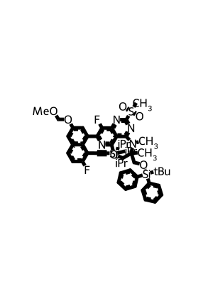 COCOc1cc(-c2nc3c4c(nc(S(C)(=O)=O)nc4c2F)N(C)C(C)(CO[Si](c2ccccc2)(c2ccccc2)C(C)(C)C)CO3)c2c(C#C[Si](C(C)C)(C(C)C)C(C)C)c(F)ccc2c1